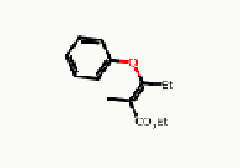 CCOC(=O)C(C)=C(CC)Oc1ccccc1